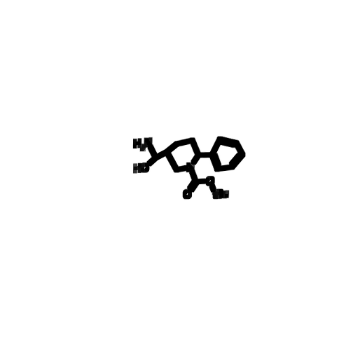 CC(C)(C)OC(=O)N1CC(C(N)O)CCC1c1ccccc1